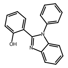 Oc1ccccc1-c1nc2ccccc2n1-c1ccccc1